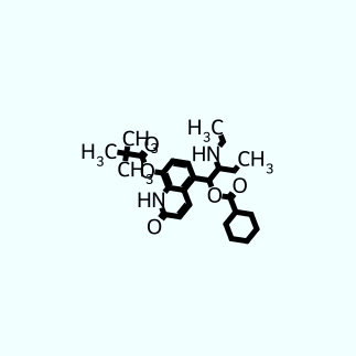 CCNC(CC)C(OC(=O)C1CCCCC1)c1ccc(OC(=O)C(C)(C)C)c2[nH]c(=O)ccc12